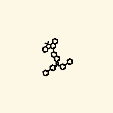 CC1(C)c2c(c(-c3ccc4cc(N(c5ccc(-c6ccccc6)cc5)c5cccc(-c6ccccc6)c5)ccc4c3)cc3ccccc23)C2C=CC=CC21